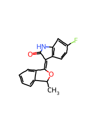 CC1O/C(=C2/C(=O)Nc3cc(F)ccc32)c2ccccc21